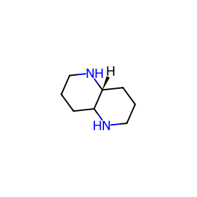 C1CN[C@@H]2CCCNC2C1